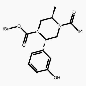 CC(C)C(=O)N1C[C@H](c2cccc(O)c2)N(C(=O)OC(C)(C)C)C[C@H]1C